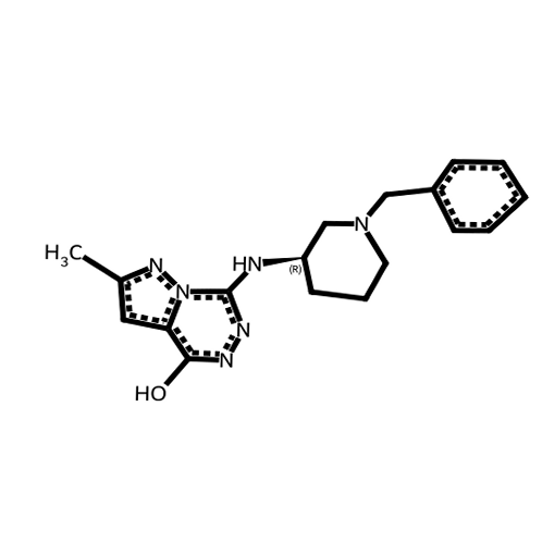 Cc1cc2c(O)nnc(N[C@@H]3CCCN(Cc4ccccc4)C3)n2n1